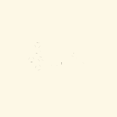 CC(C)c1c(C(=O)Nc2ccccc2)c(-c2ccccc2)c(-c2ccc(F)cc2)n1CCC(O)CC(O)CC(=O)OCC(CCCON(O)O)ON(O)O